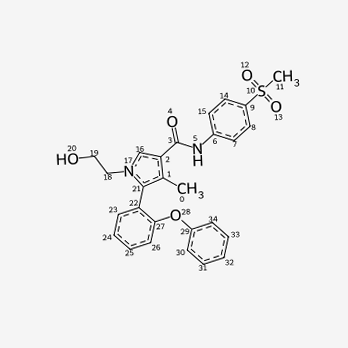 Cc1c(C(=O)Nc2ccc(S(C)(=O)=O)cc2)cn(CCO)c1-c1ccccc1Oc1ccccc1